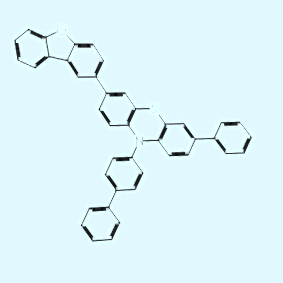 c1ccc(-c2ccc(N3c4ccc(-c5ccccc5)cc4Sc4cc(-c5ccc6oc7ccccc7c6c5)ccc43)cc2)cc1